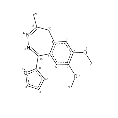 COc1cc2c(cc1OC)C(c1ccco1)=NN=C(C)C2